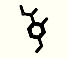 CCc1ccc(N(C)OC)c(C)c1